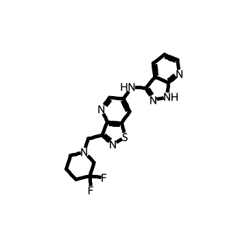 FC1(F)CCCN(Cc2nsc3cc(Nc4n[nH]c5ncccc45)cnc23)C1